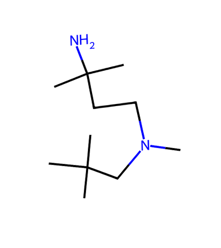 CN(CCC(C)(C)N)CC(C)(C)C